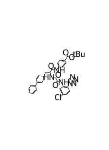 CC(C)(C)OC(=O)c1ccc(NC(=O)[C@H](Cc2ccc(-c3ccccc3)cc2)NC(=O)C(=O)Nc2cc(Cl)ccc2-n2cnnn2)cc1